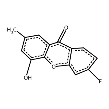 Cc1cc(O)c2oc3cc(F)ccc3c(=O)c2c1